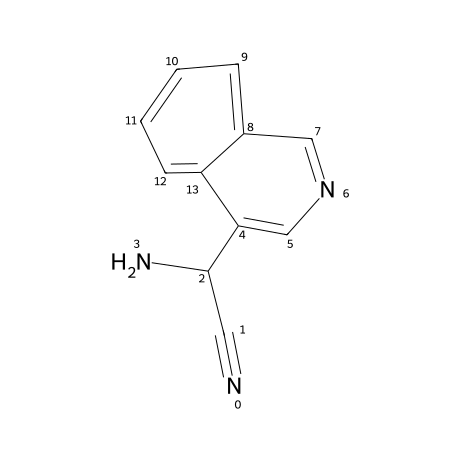 N#CC(N)c1cncc2ccccc12